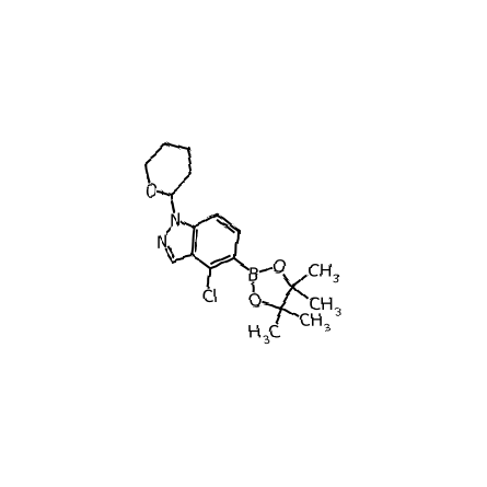 CC1(C)OB(c2ccc3c(cnn3C3CCCCO3)c2Cl)OC1(C)C